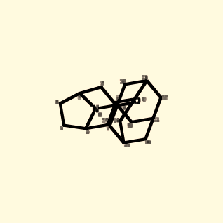 O=C1CC2CCC(C1)N2C12CC3CC(CC(C3)C1)C2